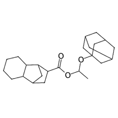 CC(OC(=O)C1CC2CC1C1CCCCC21)OC12CC3CC(CC(C3)C1)C2